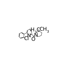 CC1(C)CCCN(C(=O)c2cccc(-c3ccccc3Cl)n2)C1